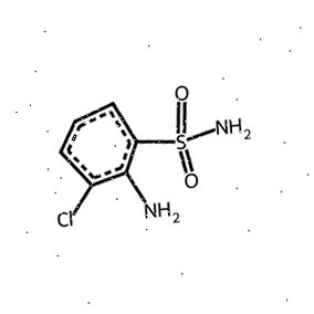 Nc1c(Cl)cccc1S(N)(=O)=O